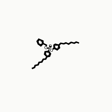 CCCCCCCCc1ccc(OP(=O)(OCc2ccccc2)c2ccc(CCCCCCCC)cc2)cc1